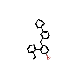 C=Cc1ccccc1-c1cc(Br)ccc1Cc1cccc(-c2ccccc2)c1